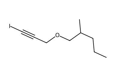 CCCC(C)COCC#CI